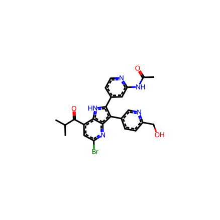 CC(=O)Nc1cc(-c2[nH]c3c(C(=O)C(C)C)cc(Br)nc3c2-c2ccc(CO)nc2)ccn1